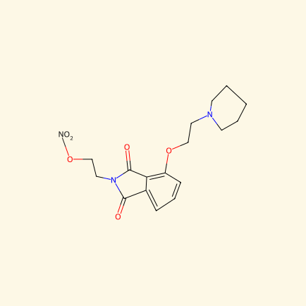 O=C1c2cccc(OCCN3CCCCC3)c2C(=O)N1CCO[N+](=O)[O-]